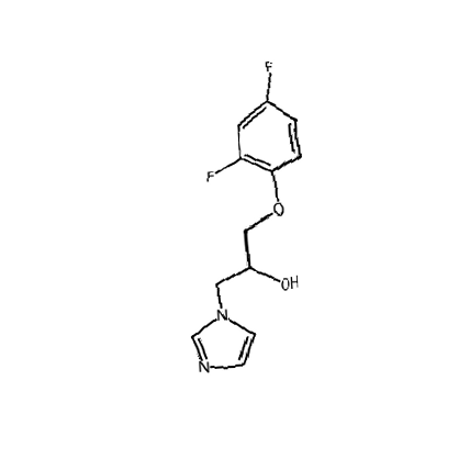 OC(COc1ccc(F)cc1F)Cn1ccnc1